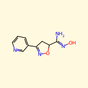 N/C(=N\O)C1CC(c2cccnc2)=NO1